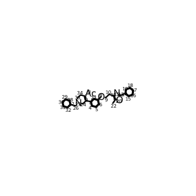 CC(=O)C1=C(c2cccc(OCCc3nc(-c4ccccc4)oc3C)c2)CN(Cc2ccccc2)CC1